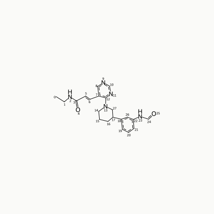 CCNC(=O)/C=C/c1cncnc1N1CCCC(c2cccc(NC=O)c2)C1